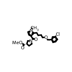 COC(=O)[C@H]1CCN(C(=O)c2ccn(C)c2CCCCOCc2cccc(Cl)c2)C1